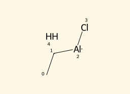 C[CH2][Al][Cl].[HH]